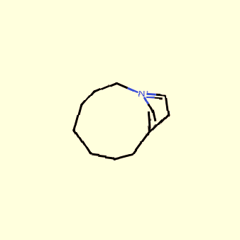 C1=C2CC=[N+]1CCCCCCC2